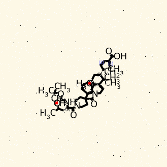 C=C(/C=C\C(=C/C)C(=O)O)[C@H]1CC[C@]2(C)CN(C(=O)C3(c4ccccc4)CCN(C(=O)[C@H](CC(C)C)NC(=O)OC(C)(C)C)CC3)CC=C2C1(C)C